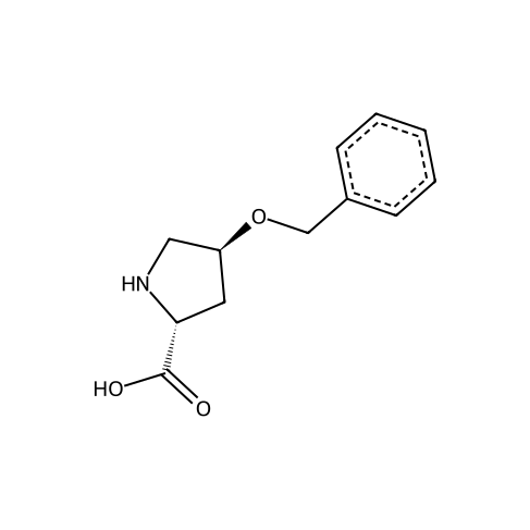 O=C(O)[C@H]1C[C@H](OCc2ccccc2)CN1